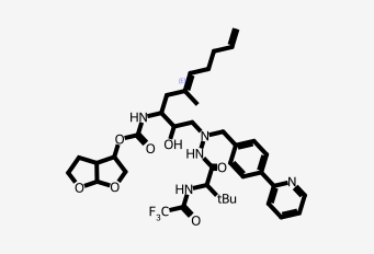 C=CCC/C=C(\C)CC(NC(=O)OC1COC2OCCC12)C(O)CN(Cc1ccc(-c2ccccn2)cc1)NC(=O)C(NC(=O)C(F)(F)F)C(C)(C)C